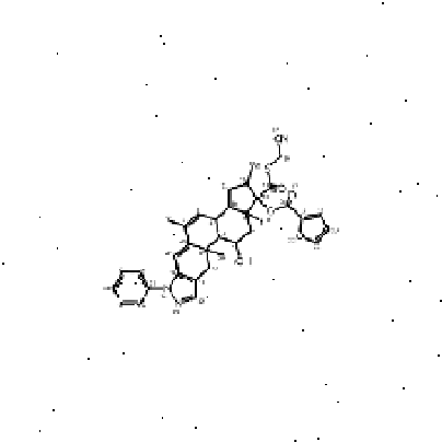 CC1=CC2C(C(O)CC3(C)C2CC(C)C3(OC(=O)c2ccco2)C(=O)SCC#N)C2(C)Cc3cnn(-c4ccccc4)c3C=C12